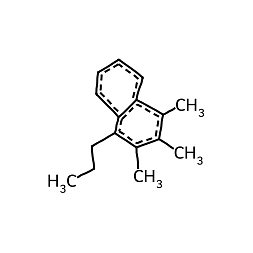 CCCc1c(C)c(C)c(C)c2ccccc12